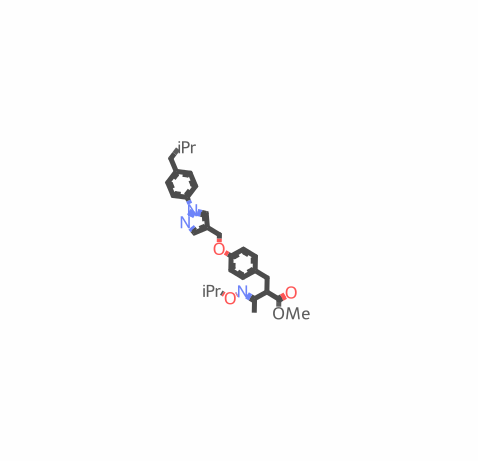 COC(=O)C(Cc1ccc(OCc2cnn(-c3ccc(CC(C)C)cc3)c2)cc1)C(C)=NOC(C)C